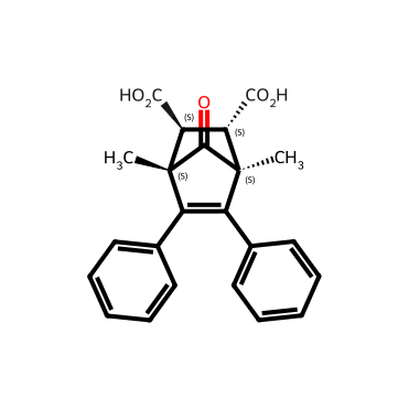 C[C@@]12C(=O)[C@](C)(C(c3ccccc3)=C1c1ccccc1)[C@@H](C(=O)O)[C@@H]2C(=O)O